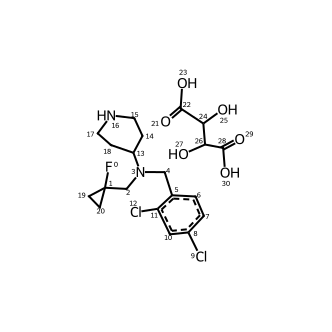 FC1(CN(Cc2ccc(Cl)cc2Cl)C2CCNCC2)CC1.O=C(O)C(O)C(O)C(=O)O